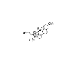 CC(C)CC[C@@H](O)C(C)C1CCC2C3CC=C4C[C@@H](O)CC[C@]4(C)C3CC[C@@]21C